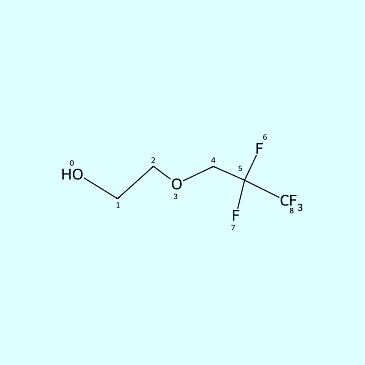 OCCOCC(F)(F)C(F)(F)F